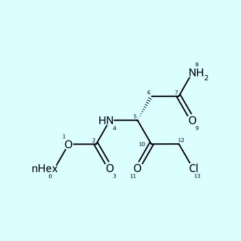 CCCCCCOC(=O)N[C@H](CC(N)=O)C(=O)CCl